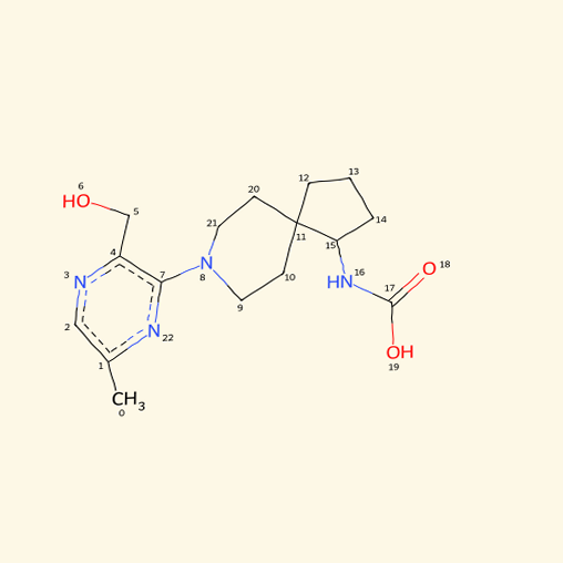 Cc1cnc(CO)c(N2CCC3(CCCC3NC(=O)O)CC2)n1